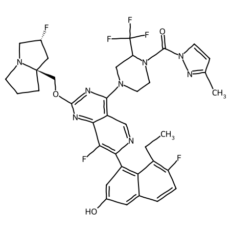 CCc1c(F)ccc2cc(O)cc(-c3ncc4c(N5CCN(C(=O)n6ccc(C)n6)C(C(F)(F)F)C5)nc(OC[C@@]56CCCN5C[C@H](F)C6)nc4c3F)c12